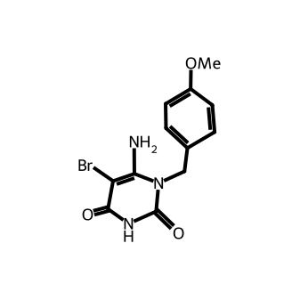 COc1ccc(Cn2c(N)c(Br)c(=O)[nH]c2=O)cc1